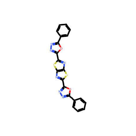 c1ccc(-c2nnc(-c3nc4sc(-c5nnc(-c6ccccc6)o5)nc4s3)o2)cc1